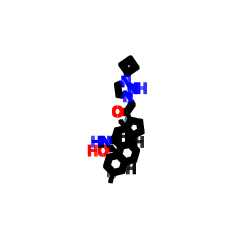 C[C@H]1CC[C@]2(CO)C3C(=N)C[C@]4(C)[C@@H](C(=O)CN5CCN(C6CCC6)N5)CC[C@H]4[C@@H]3CC[C@H]2C1